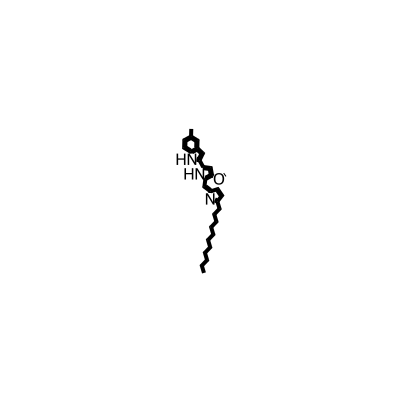 CCCCCCCCCCCC1=N/C(=C/c2[nH]c(-c3cc4cc(C)ccc4[nH]3)cc2OC)C=C1